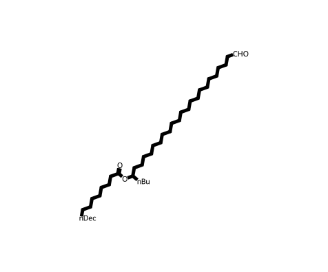 CCCCCCCCCCCCCCCCCC(=O)OC(CCCC)CCCCCCCCCCCCCCCCCCCCCC=O